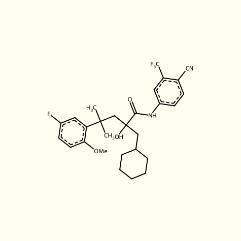 COc1ccc(F)cc1C(C)(C)CC(O)(CC1CCCCC1)C(=O)Nc1ccc(C#N)c(C(F)(F)F)c1